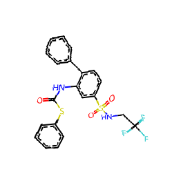 O=C(Nc1cc(S(=O)(=O)NCC(F)(F)F)ccc1-c1ccccc1)Sc1ccccc1